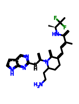 C=C(N[C@H](C)C(C)(F)F)/C(C)=C/C=C1/CCC(CCN)N(C(=C)Bc2ncc3cc[nH]c3n2)C1=C